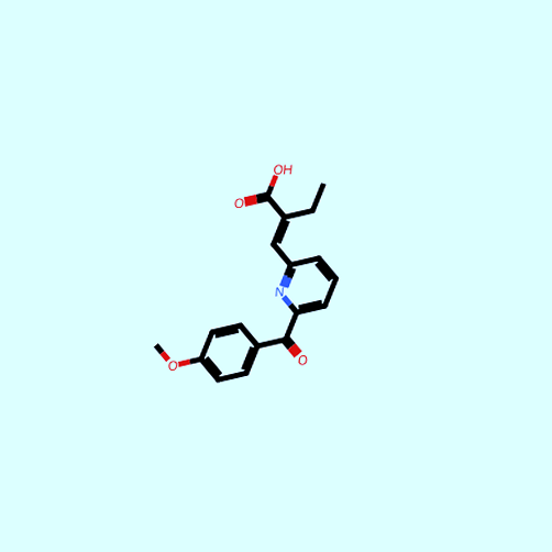 CC/C(=C\c1cccc(C(=O)c2ccc(OC)cc2)n1)C(=O)O